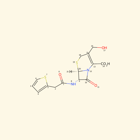 O=C(Cc1cccs1)N[C@H]1C(=O)N2C(C(=O)O)=C(CO)CS[C@H]12